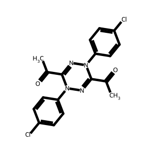 CC(=O)C1=NN(c2ccc(Cl)cc2)C(C(C)=O)=NN1c1ccc(Cl)cc1